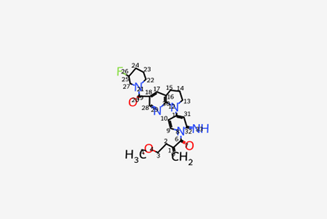 C=C(CCOC)C(=O)n1ccc(N2CCCc3cc(C(=O)N4CCCC(F)C4)cnc32)cc1=N